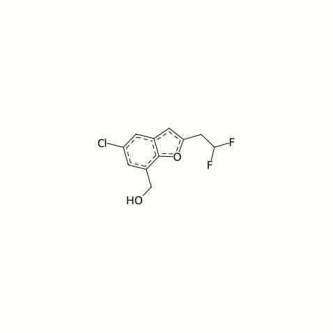 OCc1cc(Cl)cc2cc(CC(F)F)oc12